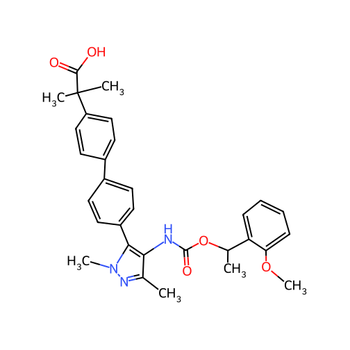 COc1ccccc1C(C)OC(=O)Nc1c(C)nn(C)c1-c1ccc(-c2ccc(C(C)(C)C(=O)O)cc2)cc1